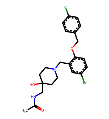 CC(=O)NCC1(O)CCN(Cc2cc(Br)ccc2OCc2ccc(Cl)cc2)CC1